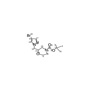 CC(C)(C)OC(=O)N1CCOC(Cn2cc(Br)cn2)C1